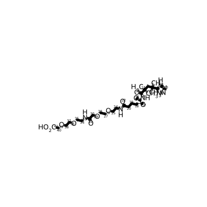 CC(C)(CC(C)(C)c1nnn[nH]1)C(=O)NS(=O)(=O)CCCC(=O)NCCOCCOCC(=O)NCCOCCOCC(=O)O